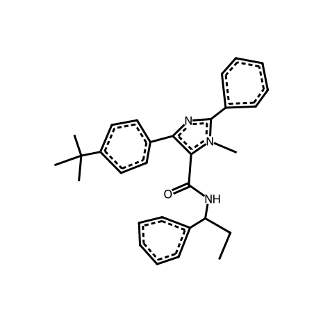 CCC(NC(=O)c1c(-c2ccc(C(C)(C)C)cc2)nc(-c2ccccc2)n1C)c1ccccc1